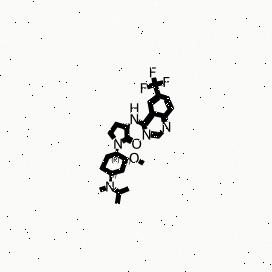 CO[C@@H]1C[C@@H](N(C)C(C)C)CC[C@H]1N1CC[C@H](Nc2ncnc3ccc(C(F)(F)F)cc23)C1=O